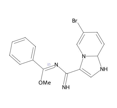 CO/C(=N\C(=N)C1=CNC2C=CC(Br)=CN12)c1ccccc1